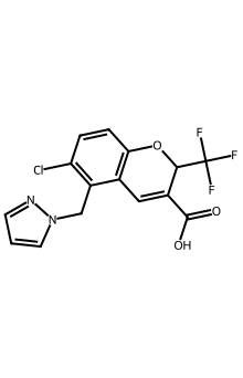 O=C(O)C1=Cc2c(ccc(Cl)c2Cn2cccn2)OC1C(F)(F)F